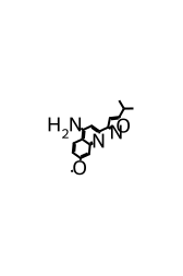 COc1ccc2c(N)cc(-c3cc(C(C)C)on3)nc2c1